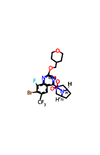 CC(C)(C)OC(=O)N1[C@@H]2CC[C@H]1CN(c1nc(OCC3CCOCC3)nc3c(F)c(Br)c(C(F)(F)F)cc13)C2